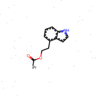 CC(C)C(=O)OCCc1cccc2[nH]ccc12